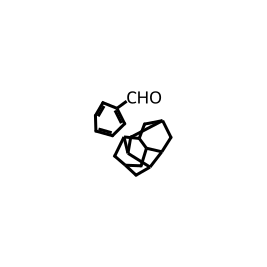 C1C2CC3C4CC5CC(C14)C(C2)C3C5.O=Cc1ccccc1